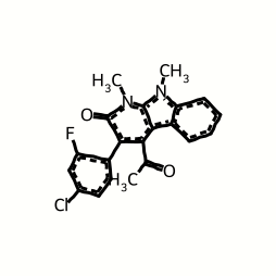 CC(=O)c1c(-c2ccc(Cl)cc2F)c(=O)n(C)c2c1c1ccccc1n2C